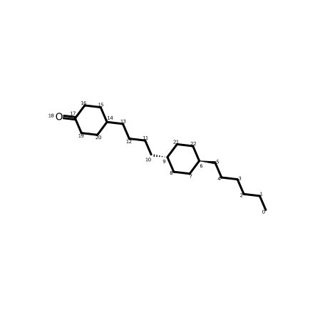 CCCCCC[C@H]1CC[C@H](CCCCC2CCC(=O)CC2)CC1